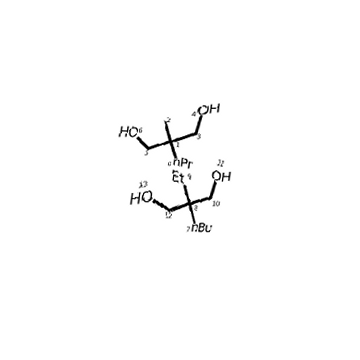 CCCC(C)(CO)CO.CCCCC(CC)(CO)CO